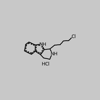 Cl.ClCCCCC1NCCc2c1[nH]c1ccccc21